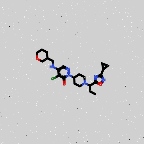 CCC(c1nc(C2CC2)no1)N1CCC(n2ncc(NCC3CCCOC3)c(Cl)c2=O)CC1